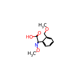 COCc1ccccc1/C(=N\OC)C(=O)O